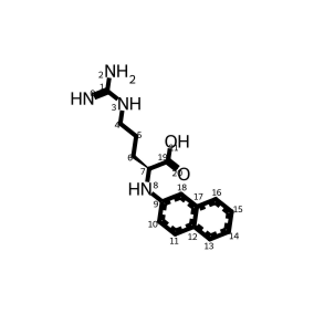 N=C(N)NCCC[C@H](Nc1ccc2ccccc2c1)C(=O)O